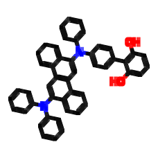 Oc1cccc(O)c1-c1ccc(N(c2ccccc2)c2cc3c(cc(N(c4ccccc4)c4ccccc4)c4ccccc43)c3c2=CCCC=3)cc1